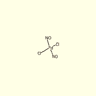 O=[N][Pd]([Cl])([Cl])[N]=O